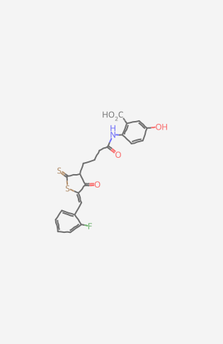 O=C(CCCC1C(=O)/C(=C/c2ccccc2F)SC1=S)Nc1ccc(O)cc1C(=O)O